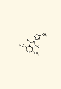 Cc1ccc(N2C(=O)c3c(C)ccc(C)c3C2=O)o1